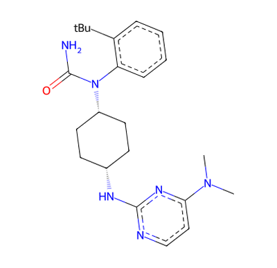 CN(C)c1ccnc(N[C@H]2CC[C@@H](N(C(N)=O)c3ccccc3C(C)(C)C)CC2)n1